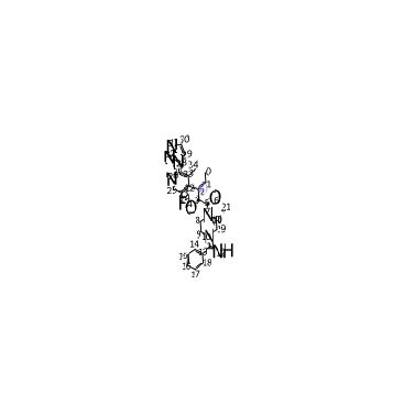 C/C=C(/C(=O)C(=O)N1CCN(C(=N)c2ccccc2)C[C@H]1C)c1c(F)cnc(-n2ccnn2)c1C